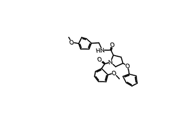 COc1ccc(CNC(=O)C2CC(Oc3ccccc3)CN2C(=O)c2ccccc2OC)cc1